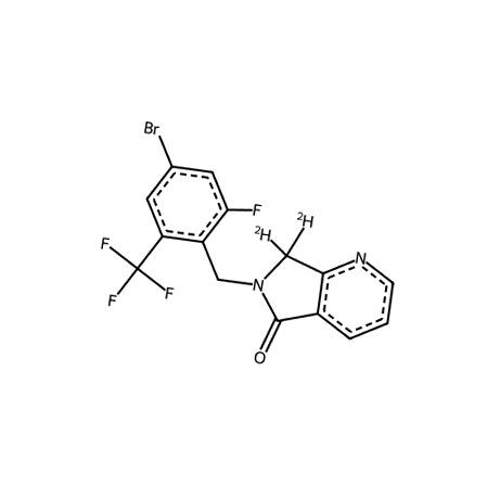 [2H]C1([2H])c2ncccc2C(=O)N1Cc1c(F)cc(Br)cc1C(F)(F)F